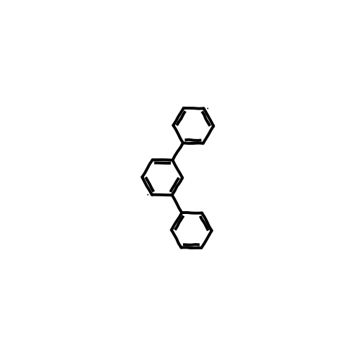 [c]1ccc(-c2cc[c]c(-c3ccccc3)c2)cc1